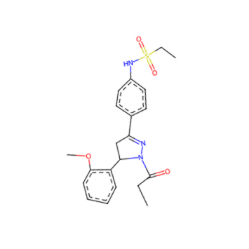 CCC(=O)N1N=C(c2ccc(NS(=O)(=O)CC)cc2)CC1c1ccccc1OC